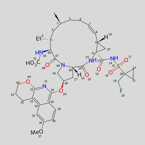 CC[C@@H]1C[C@@H](C)CC/C=C\[C@@H]2C[C@@]2(C(=O)NS(=O)(=O)C2(CF)CC2)NC(=O)[C@@H]2C[C@@H](Oc3nc4c(c5cc(OC)ccc35)CCCO4)CN2C(=O)[C@H]1NC(=O)O